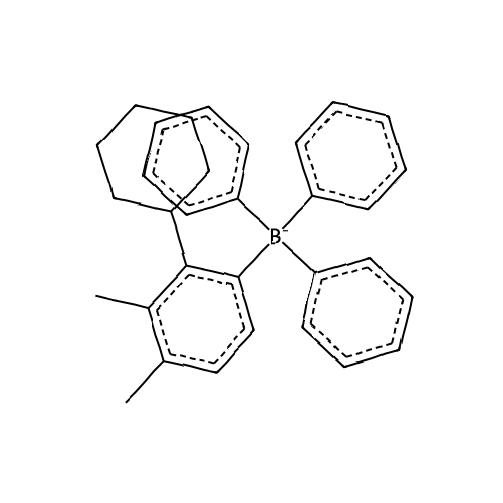 Cc1ccc([B-](c2ccccc2)(c2ccccc2)c2ccccc2)c(C2CCCCC2)c1C